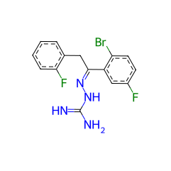 N=C(N)NN=C(Cc1ccccc1F)c1cc(F)ccc1Br